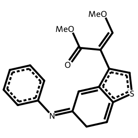 COC=C(C(=O)OC)c1csc2c1=CC(=Nc1ccccc1)CC=2